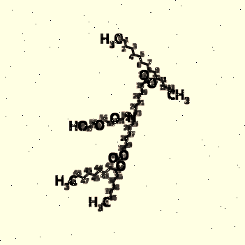 CCCCCCCCC(CCCCCC)OC(=O)CCCCCCN(CCCCCCOC(=O)OC(CCCCCC)CCCCCCCC)CCOCCOCCO